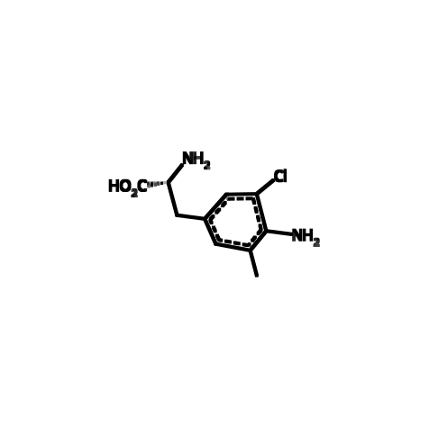 Cc1cc(C[C@@H](N)C(=O)O)cc(Cl)c1N